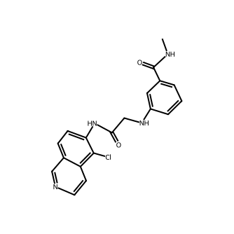 CNC(=O)c1cccc(NCC(=O)Nc2ccc3cnccc3c2Cl)c1